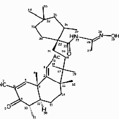 CC(=O)/C=C1/[C@@]2(C)C=C(C#N)C(=O)[C@@H](C)[C@@H]2CC[C@@]1(C)C(C)(C)CC[C@@]1(C(=O)N/C(C)=N/O)CCC(C)(C)CC1C